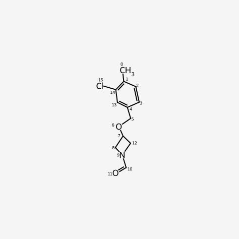 Cc1ccc(COC2CN(C=O)C2)cc1Cl